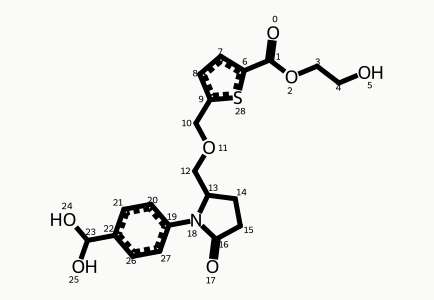 O=C(OCCO)c1ccc(COCC2CCC(=O)N2c2ccc(C(O)O)cc2)s1